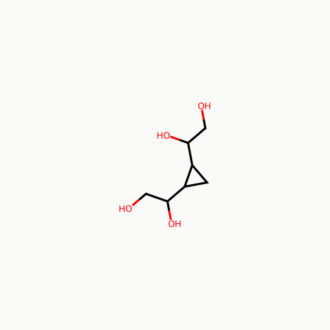 OCC(O)C1CC1C(O)CO